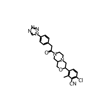 Cc1c(C2CN3CCN(C(=O)Cc4ccc(-n5cnnn5)cc4)CC3CO2)ccc(Cl)c1C#N